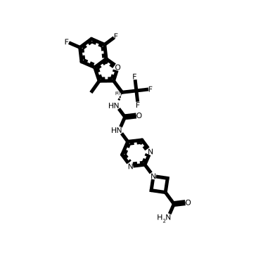 Cc1c([C@@H](NC(=O)Nc2cnc(N3CC(C(N)=O)C3)nc2)C(F)(F)F)oc2c(F)cc(F)cc12